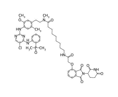 COc1cc(CCN(C)C(=O)CCCCCCCCNC(=O)COc2cccc3c2C(=O)N(C2CCC(=O)NC2=O)C3=O)c(C)cc1Nc1ncc(Cl)c(Nc2ccccc2P(C)(C)=O)n1